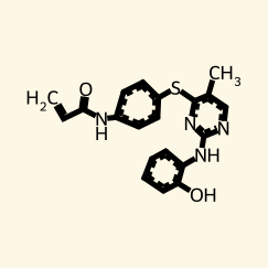 C=CC(=O)Nc1ccc(Sc2nc(Nc3ccccc3O)ncc2C)cc1